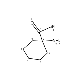 CC(C)C(=O)C1(N)CCCCC1